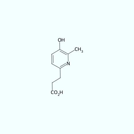 Cc1nc(CCC(=O)O)ccc1O